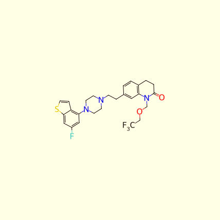 O=C1CCc2ccc(CCN3CCN(c4cc(F)cc5sccc45)CC3)cc2N1COCC(F)(F)F